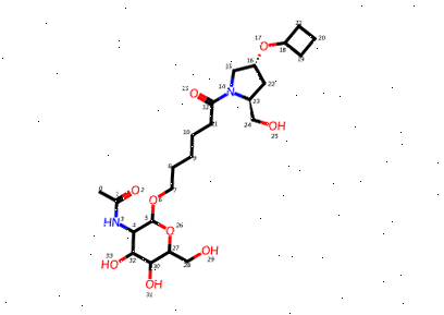 CC(=O)NC1C(OCCCCCC(=O)N2C[C@H](OC3CCC3)C[C@H]2CO)OC(CO)C(O)C1O